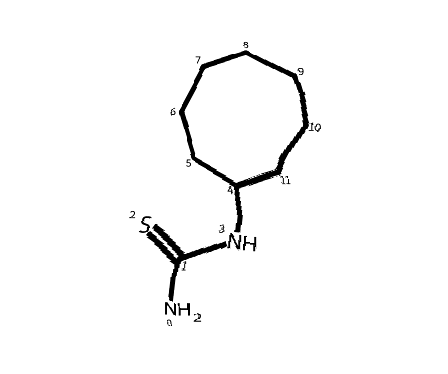 NC(=S)NC1CCCCCCC1